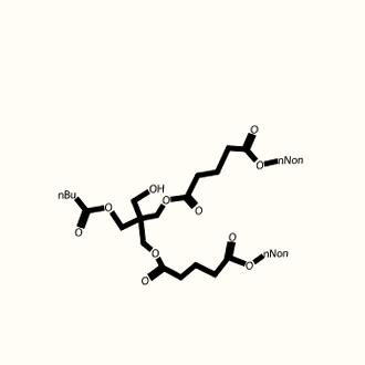 CCCCCCCCCOC(=O)CCCC(=O)OCC(CO)(COC(=O)CCCC)COC(=O)CCCC(=O)OCCCCCCCCC